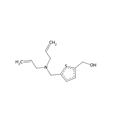 C=CCN(CC=C)Cc1ccc(CO)s1